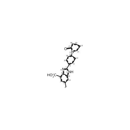 Cc1cc(C(=O)O)c2nc(-c3ccc(-n4ccccc4=O)cc3)[nH]c2c1